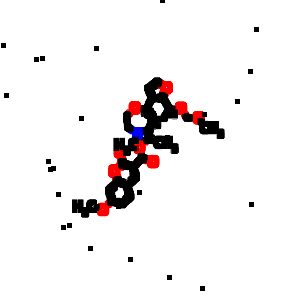 COCO[C@@H]1C[C@@]23CN(C)CCO[C@@]2(CC=C3[C@@H](C)OC(=O)c2cc3ccc(OC)cc3oc2=O)c2ccoc21